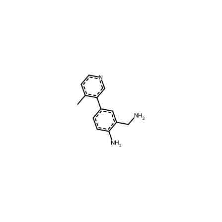 Cc1ccncc1-c1ccc(N)c(CN)c1